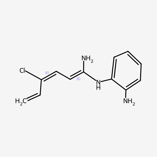 C=C/C(Cl)=C\C=C(/N)Nc1ccccc1N